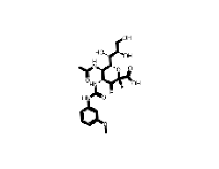 COc1cccc(NC(=O)N[C@H]2C(F)C(F)(C(=O)O)O[C@@H]([C@H](O)[C@H](O)CO)[C@@H]2NC(C)=O)c1